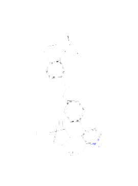 COc1cc(-c2ccc(COc3ccc4c(c3)[C@]3(CCC4)CC[C@@H]3C)cc2[C@@H]2CCCC2(C)C)c(F)cn1